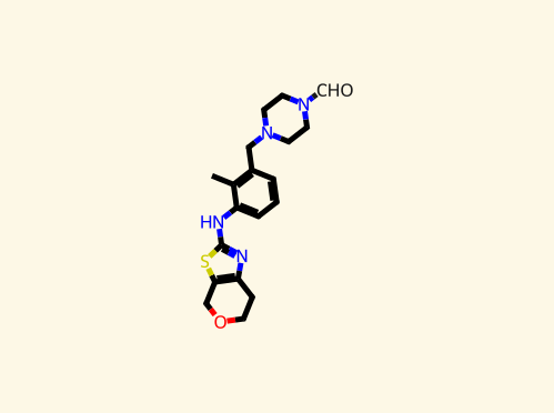 Cc1c(CN2CCN(C=O)CC2)cccc1Nc1nc2c(s1)COCC2